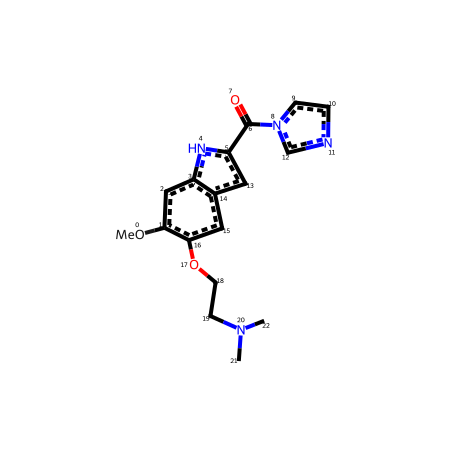 COc1cc2[nH]c(C(=O)n3ccnc3)cc2cc1OCCN(C)C